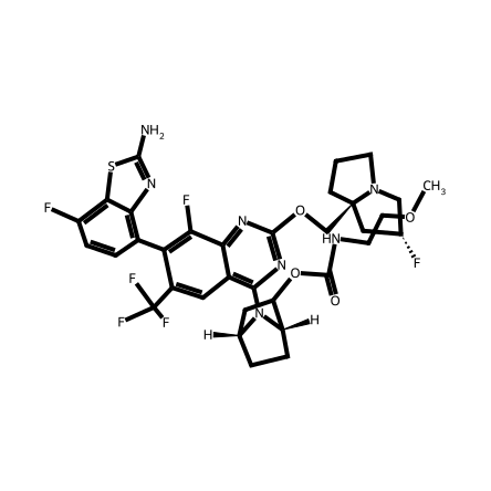 COCCNC(=O)OC1C[C@H]2CC[C@@H]1N2c1nc(OC[C@@]23CCCN2C[C@H](F)C3)nc2c(F)c(-c3ccc(F)c4sc(N)nc34)c(C(F)(F)F)cc12